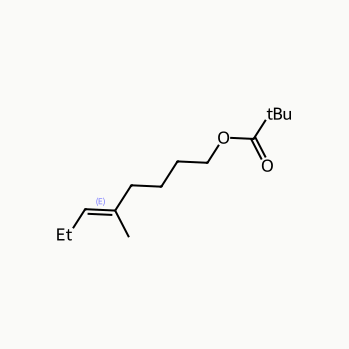 CC/C=C(\C)CCCCOC(=O)C(C)(C)C